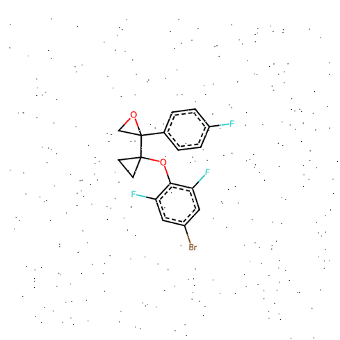 Fc1ccc(C2(C3(Oc4c(F)cc(Br)cc4F)CC3)CO2)cc1